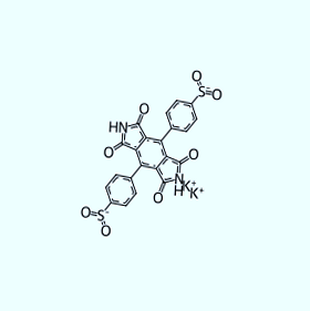 O=c1[nH]c(=O)c2c(-c3ccc([S-](=O)=O)cc3)c3c(=O)[nH]c(=O)c3c(-c3ccc([S-](=O)=O)cc3)c12.[K+].[K+]